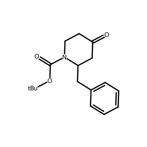 CC(C)(C)OC(=O)N1CCC(=O)CC1Cc1ccccc1